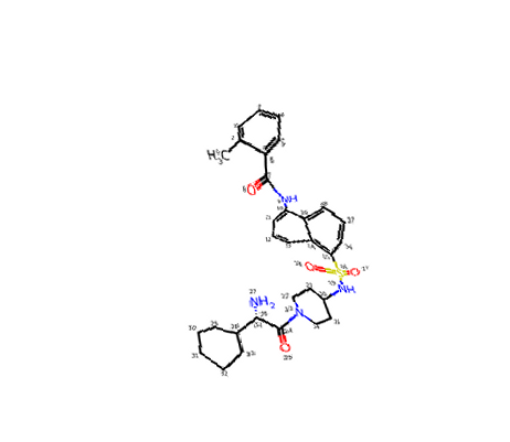 Cc1ccccc1C(=O)Nc1cccc2c(S(=O)(=O)NC3CCN(C(=O)[C@@H](N)C4CCCCC4)CC3)cccc12